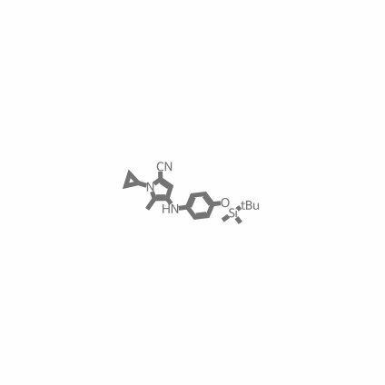 Cc1c(Nc2ccc(O[Si](C)(C)C(C)(C)C)cc2)cc(C#N)n1C1CC1